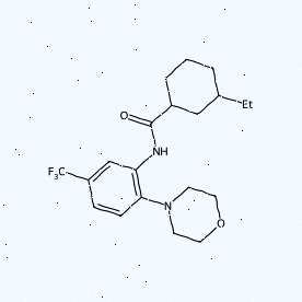 CCC1CCCC(C(=O)Nc2cc(C(F)(F)F)ccc2N2CCOCC2)C1